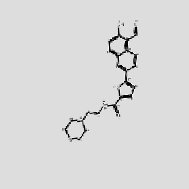 O=Cc1c(O)ccc2cc(-c3ccc(C(=O)NCCN4CCOCC4)s3)ccc12